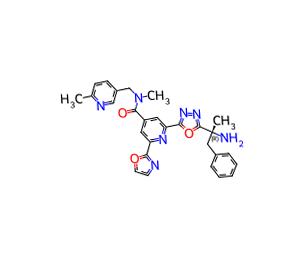 Cc1ccc(CN(C)C(=O)c2cc(-c3ncco3)nc(-c3nnc([C@](C)(N)Cc4ccccc4)o3)c2)cn1